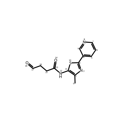 Cc1nc(-c2cccnc2)sc1NC(=O)CCC=O